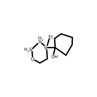 CC[Si]1(C2(O)CCCCC2)CCO[SiH2][SiH2]1